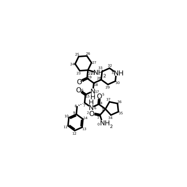 NC(=O)C1(C(=O)N[C@H](Cc2ccccc2)C(=O)NC(C(=O)C2(N)CCCCC2)C2CCNCC2)CCCC1